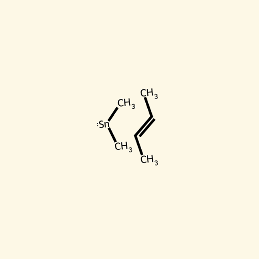 CC=CC.[CH3][Sn][CH3]